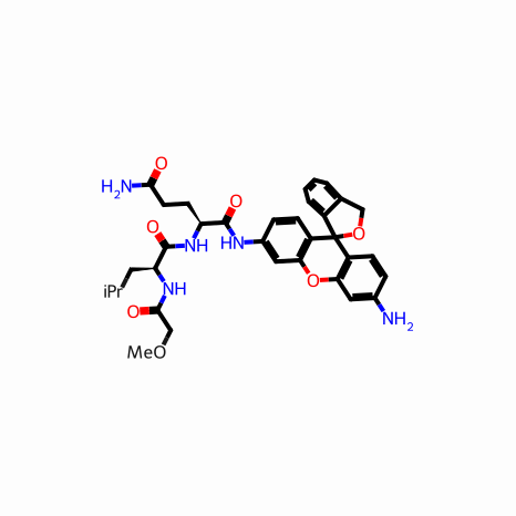 COCC(=O)N[C@@H](CC(C)C)C(=O)N[C@@H](CCC(N)=O)C(=O)Nc1ccc2c(c1)Oc1cc(N)ccc1C21OCc2ccccc21